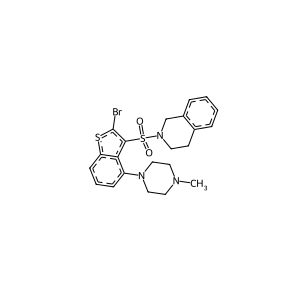 CN1CCN(c2cccc3sc(Br)c(S(=O)(=O)N4CCc5ccccc5C4)c23)CC1